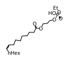 CCCCCC/C=C\CCCCCCCC(=O)OCCCOP(=O)(O)OCC